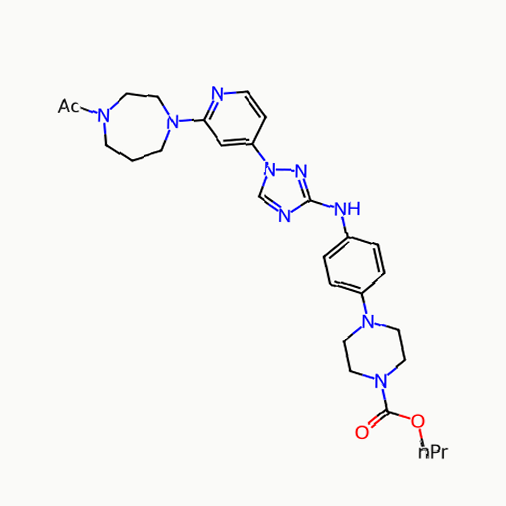 CCCOC(=O)N1CCN(c2ccc(Nc3ncn(-c4ccnc(N5CCCN(C(C)=O)CC5)c4)n3)cc2)CC1